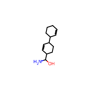 NC(O)C1C=CC(C2C=CCCC2)CC1